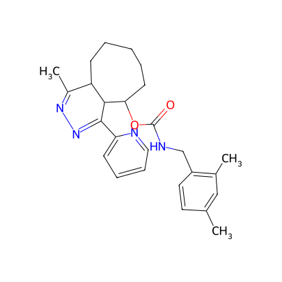 CC1=NN=C(c2ccccn2)C2C(OC(=O)NCc3ccc(C)cc3C)CCCCCC12